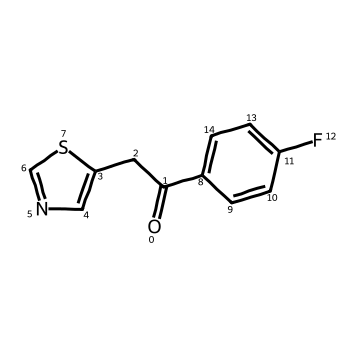 O=C(Cc1cncs1)c1ccc(F)cc1